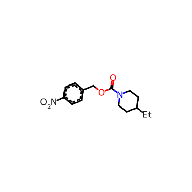 CCC1CCN(C(=O)OCc2ccc([N+](=O)[O-])cc2)CC1